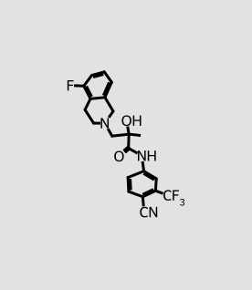 CC(O)(CN1CCc2c(F)cccc2C1)C(=O)Nc1ccc(C#N)c(C(F)(F)F)c1